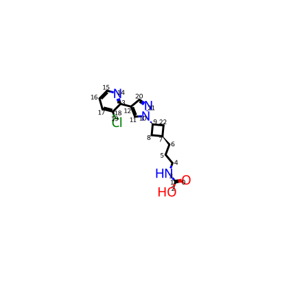 O=C(O)NCCC[C@H]1C[C@H](n2cc(-c3ncccc3Cl)cn2)C1